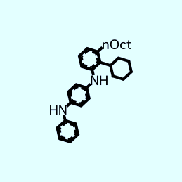 CCCCCCCCc1cccc(Nc2ccc(Nc3ccccc3)cc2)c1C1CCCCC1